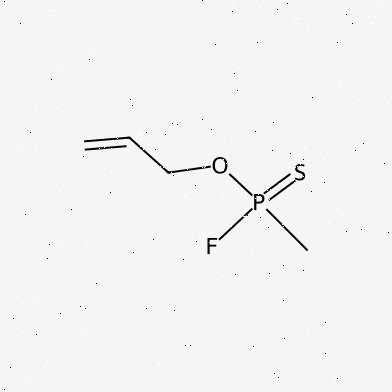 C=CCOP(C)(F)=S